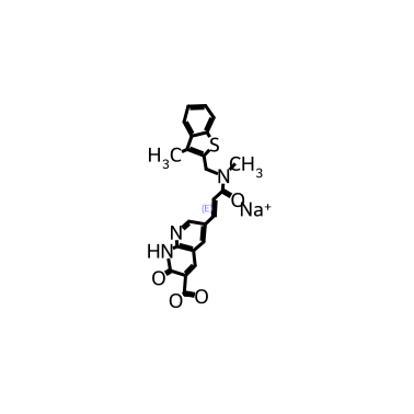 Cc1c(CN(C)C(=O)/C=C/c2cnc3[nH]c(=O)c(C(=O)[O-])cc3c2)sc2ccccc12.[Na+]